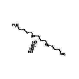 Cl.Cl.Cl.Cl.NCCCCNCCCNCCCN